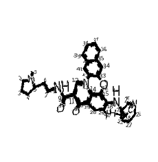 CN1CCCC1CCNC(=O)c1cn2c3c(c(N[C@@H]4CN5CCC4CC5)c(F)cc3c1=O)Oc1cc3ccccc3cc1-2